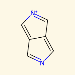 C1=NC=C2C=[N+]C=C12